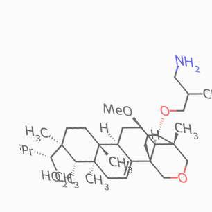 CO[C@@H]1C[C@]23COC[C@](C)([C@@H]2CC[C@H]2C3=CC[C@@]3(C)[C@H](C(=O)O)[C@@](C)([C@H](C)C(C)C)CC[C@]23C)[C@H]1OCC(C)CN